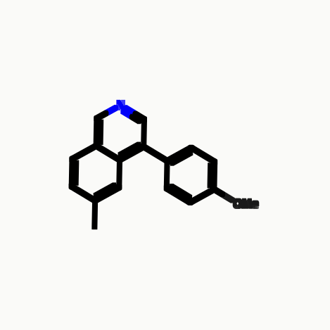 COc1ccc(-c2cncc3ccc(C)cc23)cc1